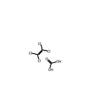 ClC(Cl)=C(Cl)Cl.O=C(O)O